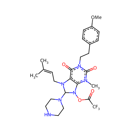 COc1ccc(CCn2c(=O)c3c(n(C)c2=O)N(OC(=O)C(F)(F)F)C(N2CCNCC2)N3CC=C(C)C)cc1